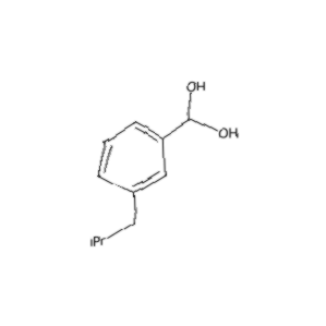 CC(C)Cc1cccc(C(O)O)c1